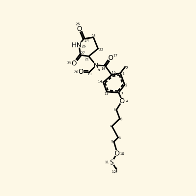 Cc1cc(OCCCCCOSI)ccc1C(=O)N(C=O)C1CCC(=O)NC1=O